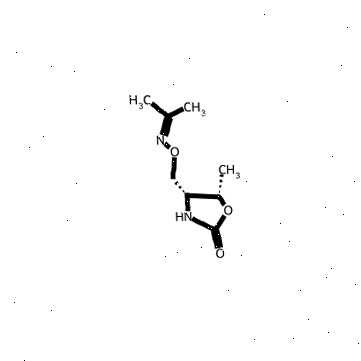 CC(C)=NOC[C@H]1NC(=O)O[C@H]1C